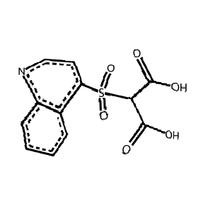 O=C(O)C(C(=O)O)S(=O)(=O)c1ccnc2ccccc12